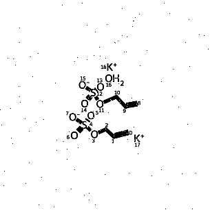 C=CCOS(=O)(=O)[O-].C=CCOS(=O)(=O)[O-].O.[K+].[K+]